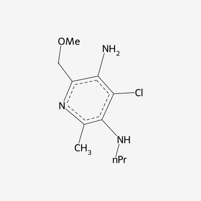 CCCNc1c(C)nc(COC)c(N)c1Cl